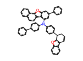 C1=Cc2c(oc3ccccc23)C(c2ccc(N(c3ccc(-c4ccccc4)cc3)c3cc(-c4ccccc4)cc4oc5c6ccccc6ccc5c34)cc2)C1